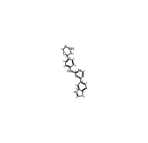 c1cc(-c2ccc3scnc3c2)nc(Nc2ccc(C3CNCCO3)cc2)n1